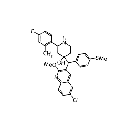 COc1nc2ccc(Cl)cc2cc1C(c1ccc(SC)cc1)C1(O)CCNC(c2ccc(F)cc2C)C1